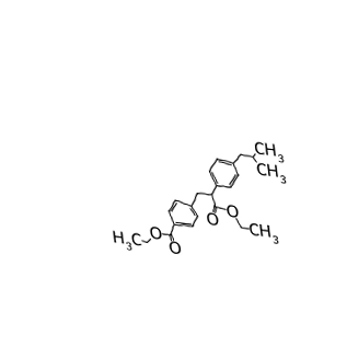 CCOC(=O)c1ccc(CC(C(=O)OCC)c2ccc(CC(C)C)cc2)cc1